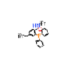 CC(C)Cc1ccc(C(=O)NC(C)C)c(P(c2ccccc2)c2ccccc2)c1